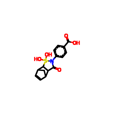 O=C(O)c1ccc(N2C(=O)C3C4C=CC(C4)C3S2(O)O)cc1